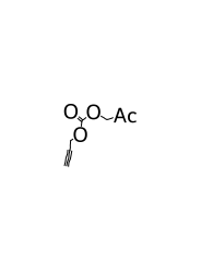 C#CCOC(=O)OCC(C)=O